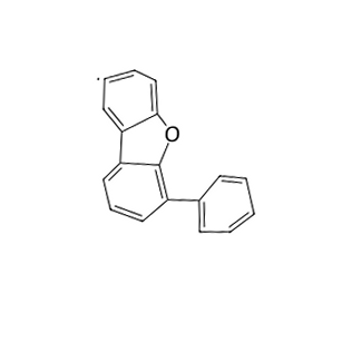 [c]1ccc2oc3c(-c4ccccc4)cccc3c2c1